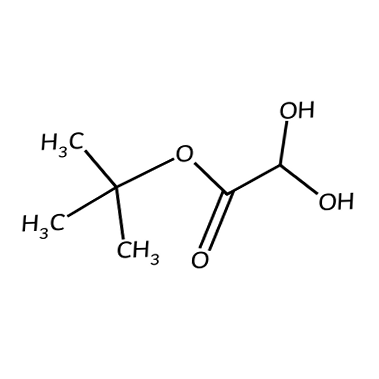 CC(C)(C)OC(=O)C(O)O